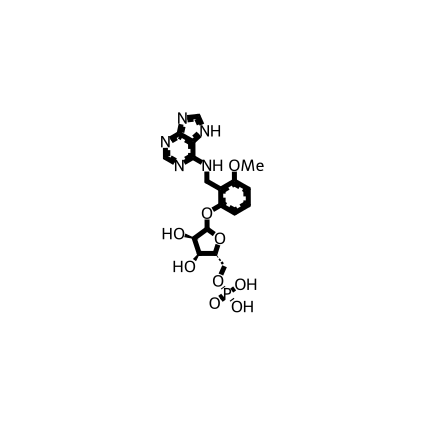 COc1cccc(OC2O[C@H](COP(=O)(O)O)[C@@H](O)[C@H]2O)c1CNc1ncnc2nc[nH]c12